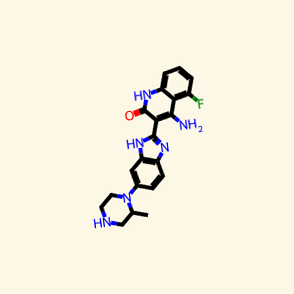 CC1CNCCN1c1ccc2nc(-c3c(N)c4c(F)cccc4[nH]c3=O)[nH]c2c1